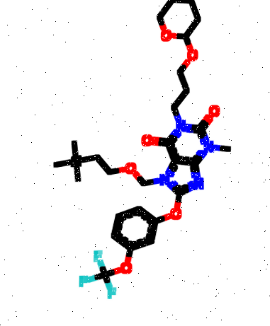 Cn1c(=O)n(CCCOC2CCCCO2)c(=O)c2c1nc(Oc1cccc(OC(F)(F)F)c1)n2COCC[Si](C)(C)C